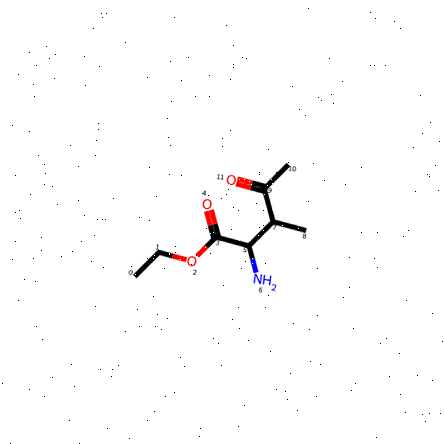 CCOC(=O)C(N)C(C)C(C)=O